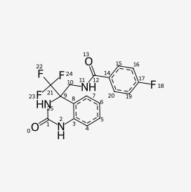 O=C1Nc2ccccc2C(CNC(=O)c2ccc(F)cc2)(C(F)(F)F)N1